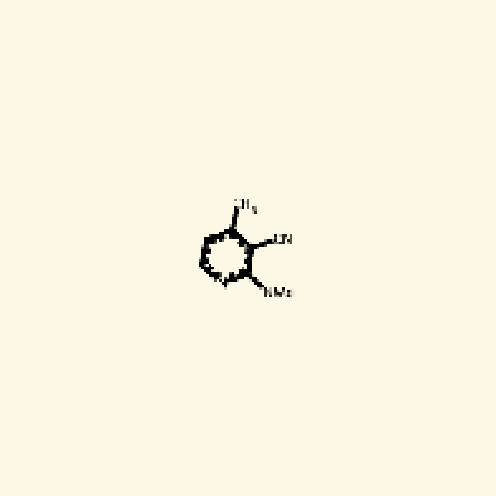 CNc1nccc(C)c1C#N